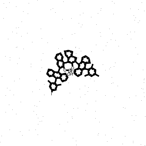 Cc1cc(C)c(-c2c3ccccc3c(-c3cc4ccccc4c4c3OP(=O)(O)Oc3c(-c5c6ccccc6c(-c6c(C)cc(I)cc6C)c6ccccc56)cc5ccccc5c3-4)c3ccccc23)c(C)c1